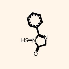 O=C1CN=C(c2ccccc2)N1S